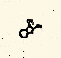 CN1c2ccccc2SC1S